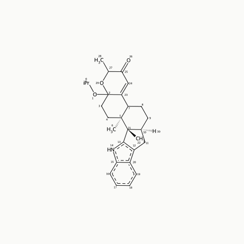 CC(C)OC12CC[C@@]3(C)C(CC[C@H]4Cc5c([nH]c6ccccc56)[C@@]43C)C1=CC(=O)C(C)O2